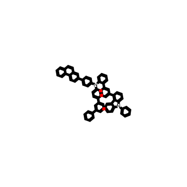 c1ccc(-c2cccc(-c3ccc(N(c4ccc(-c5ccc6c(ccc7ccccc76)c5)cc4)c4ccccc4-c4cccc(-c5cccc6c5c5ccccc5n6-c5ccccc5)c4)cc3)c2)cc1